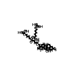 C[C@]12C=CC(=O)C=C1CC[C@@H]1[C@@H]2[C@@H](O)C[C@@]2(C)[C@H]1CC[C@]2(O)C(=O)COC(=O)CC(NC(=O)CCCCCON(O)O)C(=O)OCCCCON(O)O